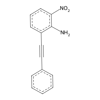 Nc1c(C#Cc2ccccc2)cccc1[N+](=O)[O-]